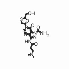 CN(C)CCC(=O)Nc1nn(C(N)=O)c2c(=O)n(C3CSC(CO)O3)nnc12